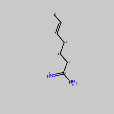 CC=CCCCC(=N)N